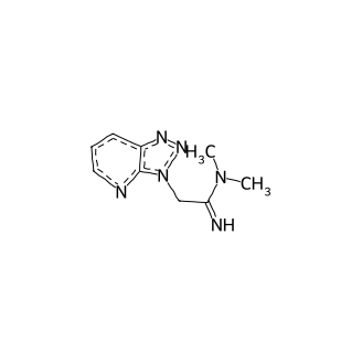 CN(C)C(=N)Cn1nnc2cccnc21